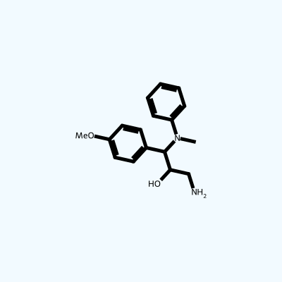 COc1ccc(C(C(O)CN)N(C)c2ccccc2)cc1